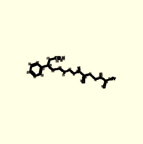 CCCC(=O)NCCC(=O)NCCSCCC(CC(=O)O)c1ccccc1